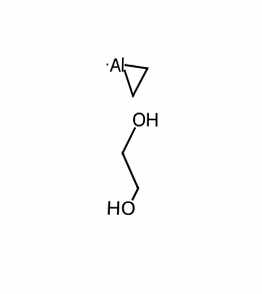 OCCO.[CH2]1[CH2][Al]1